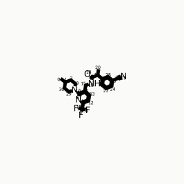 CC1CCN(c2nc(C(F)(F)F)ccc2CNC(=O)C(C)c2cccc(C#N)c2)CC1